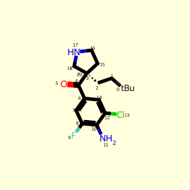 CC(C)(C)CC[C@@]1(C(=O)c2cc(F)c(N)c(Cl)c2)CCNC1